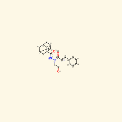 O=[C]CN(NC(=O)C12CC3CC(CC(C3)C1)C2)C(=O)/C=C/c1ccccc1